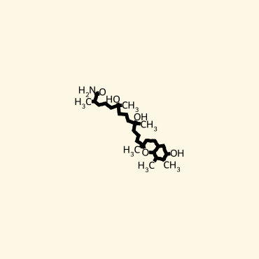 CC(CCCC(C)(O)CCCC(C)(O)CCCC1(C)CCC2CC(O)C(C)C(C)C2O1)C(N)=O